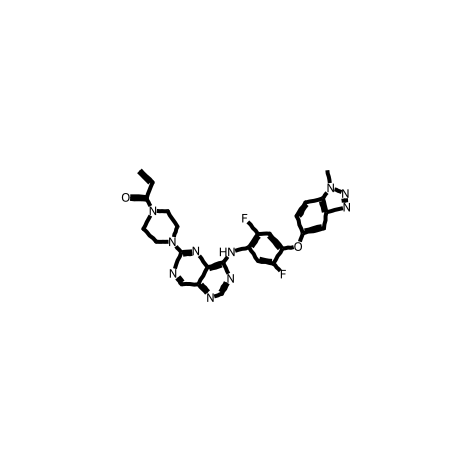 C=CC(=O)N1CCN(c2ncc3ncnc(Nc4cc(F)c(Oc5ccc6c(c5)nnn6C)cc4F)c3n2)CC1